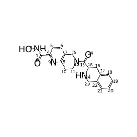 O=C(NO)c1ccc2c(n1)CCN(C(=O)C1Cc3ccccc3CN1)C2